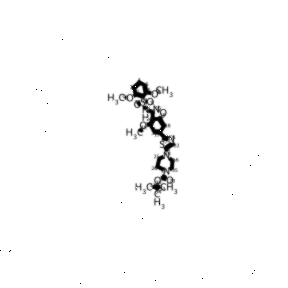 COc1cccc(OC)c1S(=O)(=O)Nc1noc2cc(-c3ncc(N4CCN(C(=O)OC(C)(C)C)CC4)s3)cc(OC)c12